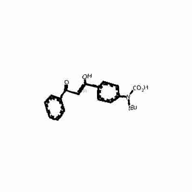 CC(C)(C)N(C(=O)O)c1ccc(/C(O)=C/C(=O)c2ccccc2)cc1